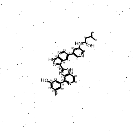 CC(C)CC(O)Nc1cncc(-c2cnc3[nH]nc(-c4nc5c(-c6cc(O)cc(F)c6)nccc5[nH]4)c3c2)c1